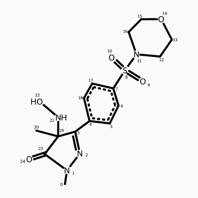 CN1N=C(c2ccc(S(=O)(=O)N3CCOCC3)cc2)C(C)(NO)C1=O